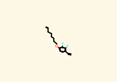 C#Cc1ccc(OCCCCCCC=C)c(F)c1F